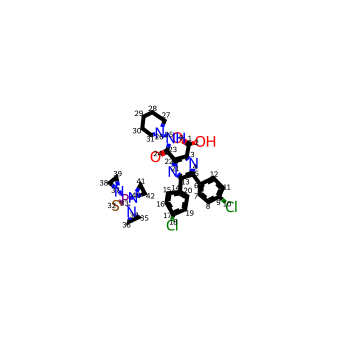 O=C(O)c1nc(-c2ccc(Cl)cc2)c(-c2ccc(Cl)cc2)nc1C(=O)NN1CCCCC1.S=P(N1CC1)(N1CC1)N1CC1